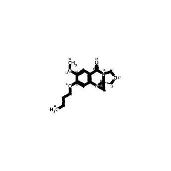 CCCCOc1cc2c(cc1OC)C(=O)N1COC[C@@]13CN23